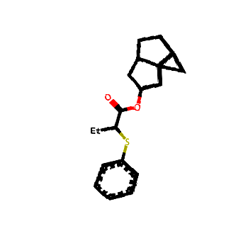 CCC(Sc1ccccc1)C(=O)OC1CC2CCC3CC23C1